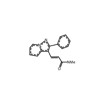 CNC(=O)C=Cc1c(-c2ccccc2)nn2ccccc12